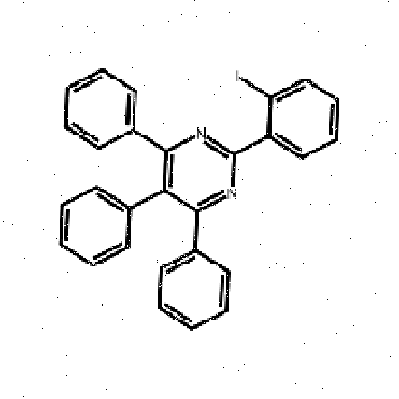 Ic1ccccc1-c1nc(-c2ccccc2)c(-c2ccccc2)c(-c2ccccc2)n1